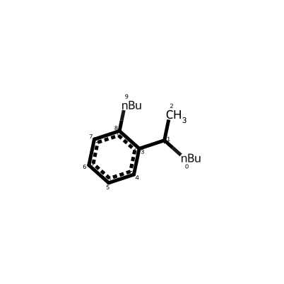 CCCC[C](C)c1ccccc1CCCC